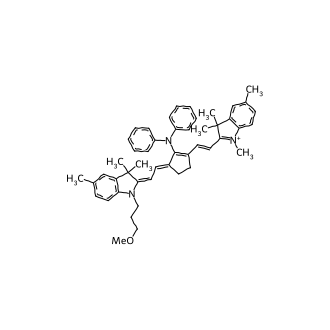 COCCCN1/C(=C/C=C2\CCC(/C=C/C3=[N+](C)c4ccc(C)cc4C3(C)C)=C2N(c2ccccc2)c2ccccc2)C(C)(C)c2cc(C)ccc21